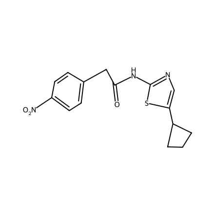 O=C(Cc1ccc([N+](=O)[O-])cc1)Nc1ncc(C2CCC2)s1